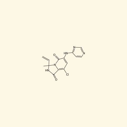 C=CC1(C)NC(=O)c2c(Cl)cc(Nc3ccncn3)c(=O)n21